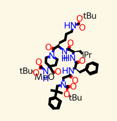 COC(=O)C1(NC(=O)OC(C)(C)C)CCN(C(=O)[C@@H](CCCCNC(=O)OC(C)(C)C)NC(=O)[C@@H](CC(C)C)NC(=O)[C@@H](Cc2ccccc2)NC(=O)CN(CC(C)(C)c2ccccc2)C(=O)OC(C)(C)C)CC1